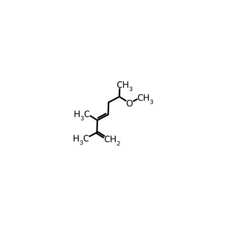 C=C(C)/C(C)=C/CC(C)OC